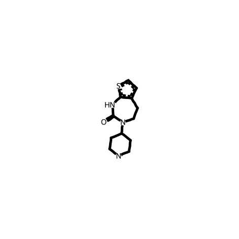 O=C1Nc2sccc2CCN1C1CC[N]CC1